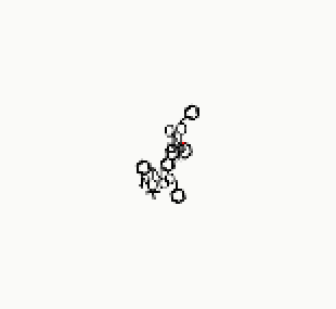 CN(C)c1ccccc1N(C(=O)OC(C)(C)C)c1cc2c(cc1OCc1ccccc1)[C@]13CCCC[C@@H]1[C@H](C2)N(C(=O)OCc1ccccc1)CC3